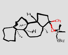 CC(C)(C)[Si](C)(C)OC1(O)CC[C@H]2[C@@H]3CC=C4CCCC[C@]4(C)[C@@H]3CC[C@@]21C